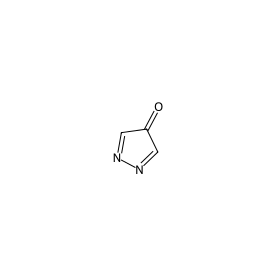 O=C1C=NN=C1